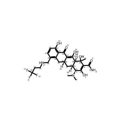 CN(C)[C@@H]1C(O)=C(C(N)=O)C(C)(O)[C@@]2(O)C(O)=C3C(=O)c4c(O)ccc(CNCCC(F)(F)F)c4C[C@H]3C[C@@H]12